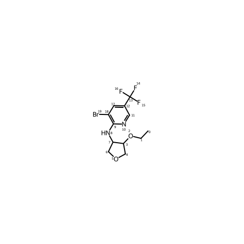 CCOC1COCC1Nc1ncc(C(F)(F)F)cc1Br